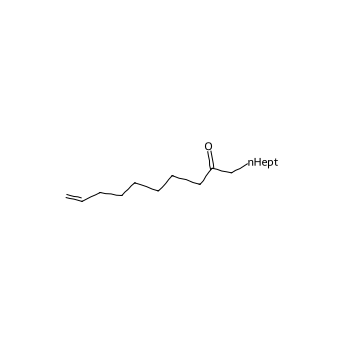 C=CCCCCCCC(=O)CCCCCCCC